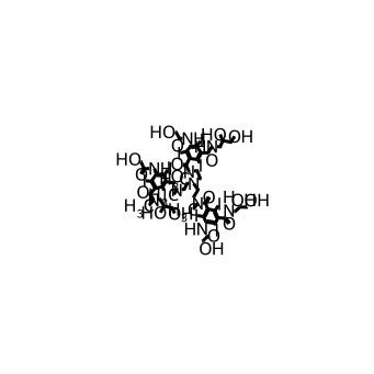 CN(CCN(CCN(C)C(=O)c1c(I)c(NC(=O)CO)c(I)c(C(=O)NCC(O)CO)c1I)CCN(C)C(=O)c1c(I)c(NC(=O)CO)c(I)c(C(=O)N(C)CC(O)CO)c1I)C(=O)c1c(I)c(NC(=O)CO)c(I)c(C(=O)NCC(O)CO)c1I